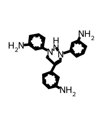 Nc1cccc(C2=CN(c3cccc(N)c3)NN(c3cccc(N)c3)C2)c1